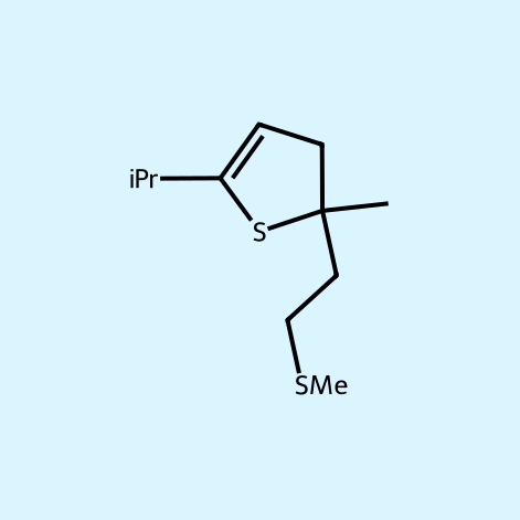 CSCCC1(C)CC=C(C(C)C)S1